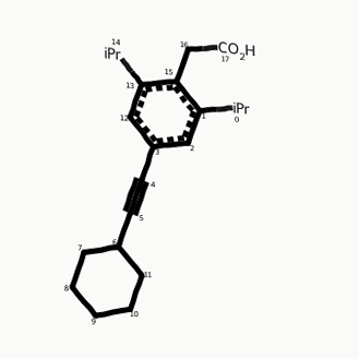 CC(C)c1cc(C#CC2CCCCC2)cc(C(C)C)c1CC(=O)O